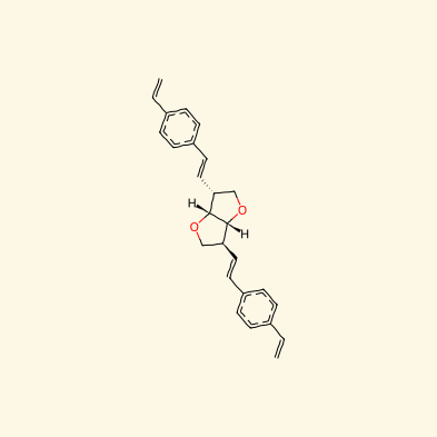 C=Cc1ccc(C=C[C@@H]2CO[C@H]3[C@@H]2OC[C@@H]3C=Cc2ccc(C=C)cc2)cc1